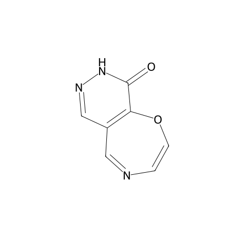 O=c1[nH]ncc2c1OC=CN=C2